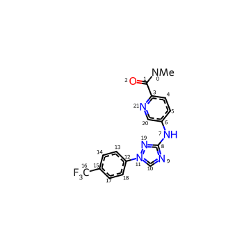 CNC(=O)c1ccc(Nc2ncn(-c3ccc(C(F)(F)F)cc3)n2)cn1